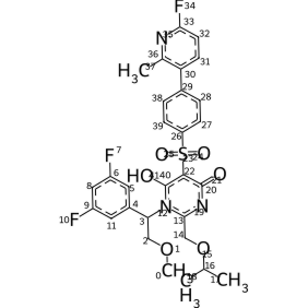 COCC(c1cc(F)cc(F)c1)n1c(COC(C)C)nc(=O)c(S(=O)(=O)c2ccc(-c3ccc(F)nc3C)cc2)c1O